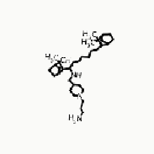 CC1(C)C2CCC(C2)C1CCCCCCC(NCC1CCN(CCCN)CC1)C1C2CCC(C2)C1(C)C